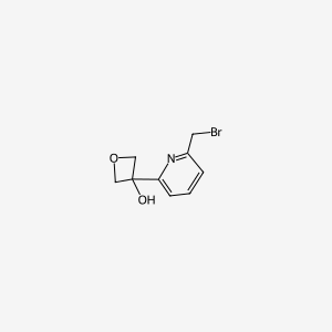 OC1(c2cccc(CBr)n2)COC1